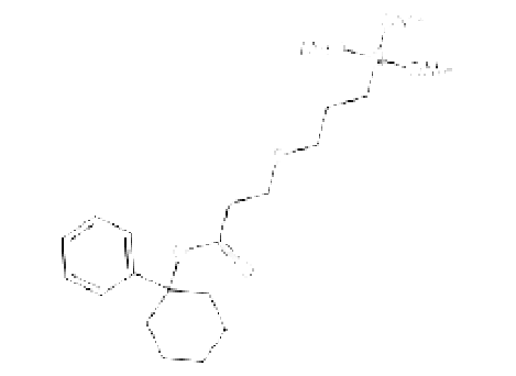 CO[Si](CCCSCCC(=O)OC1(c2ccccc2)CCCCC1)(OC)OC